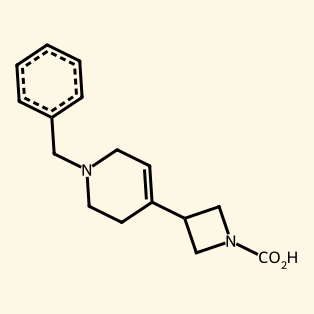 O=C(O)N1CC(C2=CCN(Cc3ccccc3)CC2)C1